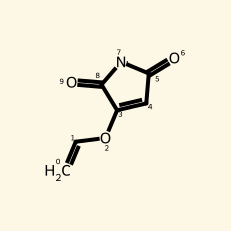 C=COC1=CC(=O)[N]C1=O